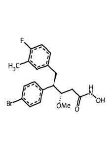 CO[C@@H](CC(=O)NO)[C@H](Cc1ccc(F)c(C)c1)c1ccc(Br)cc1